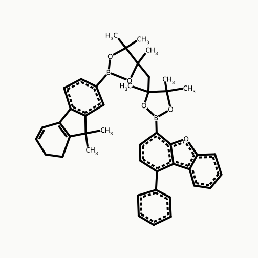 CC1(C)C2=C(C=CCC2)c2ccc(B3OC(C)(C)C(C)(CC4(C)OB(c5ccc(-c6ccccc6)c6c5oc5ccccc56)OC4(C)C)O3)cc21